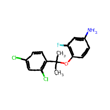 CC(C)(Oc1ccc(N)cc1F)c1ccc(Cl)cc1Cl